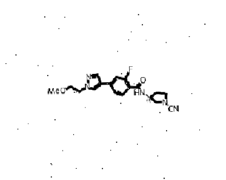 COCCn1cc(-c2ccc(C(=O)N[C@@H]3CCN(C#N)C3)c(F)c2)cn1